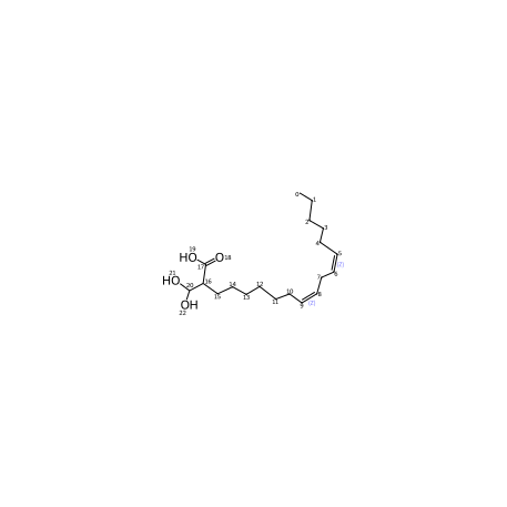 CCCCC/C=C\C/C=C\CCCCCCC(C(=O)O)C(O)O